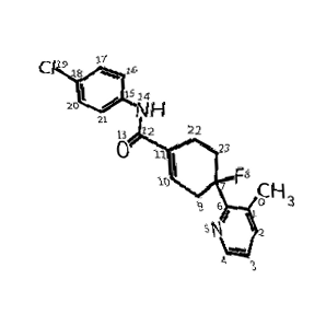 Cc1cccnc1C1(F)CC=C(C(=O)Nc2ccc(Cl)cc2)CC1